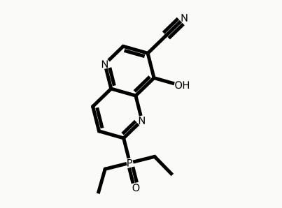 CCP(=O)(CC)c1ccc2ncc(C#N)c(O)c2n1